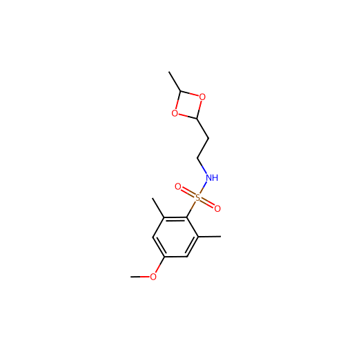 COc1cc(C)c(S(=O)(=O)NCCC2OC(C)O2)c(C)c1